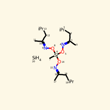 CC(CC(C)C)=NO[Si](C)(ON=C(C)CC(C)C)ON=C(C)CC(C)C.[SiH4]